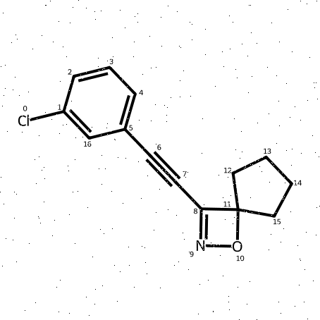 Clc1cccc(C#CC2=NOC23CCCC3)c1